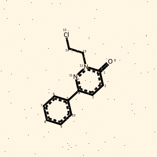 O=c1ccc(-c2ccccc2)nn1CCCl